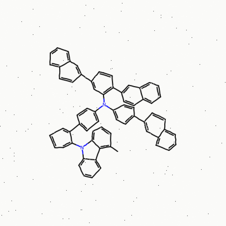 Cc1cccc2c1c1ccccc1n2-c1ccccc1-c1ccc(N(c2ccc(-c3ccc4ccccc4c3)cc2)c2cc(-c3ccc4ccccc4c3)ccc2-c2ccc3ccccc3c2)cc1